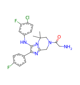 CC1(C)CN(C(=O)CN)Cc2nc(-c3ccc(F)cc3)c(Nc3ccc(Cl)c(F)c3)n21